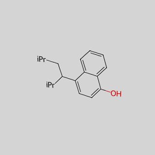 CC(C)CC(c1ccc(O)c2ccccc12)C(C)C